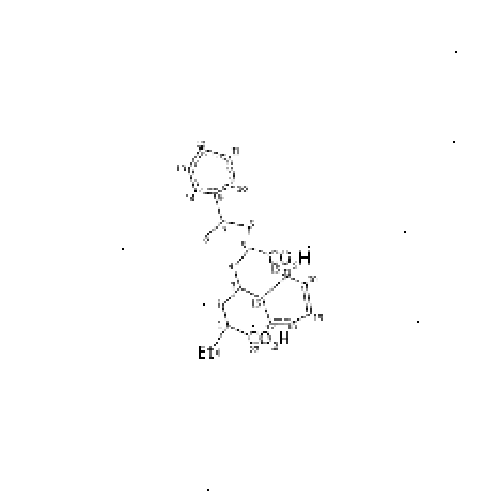 CCC(CC(CC(CC(C)c1ccccc1)C(=O)O)C1C=CC=CC1)C(=O)O